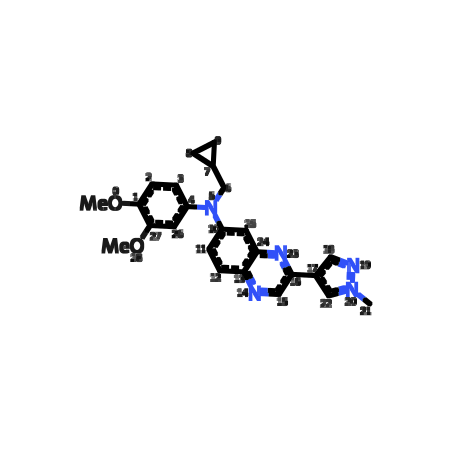 COc1ccc(N(CC2CC2)c2ccc3ncc(-c4cnn(C)c4)nc3c2)cc1OC